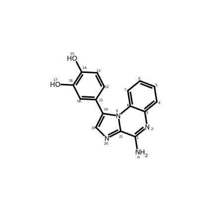 Nc1nc2ccccc2n2c(-c3ccc(O)c(O)c3)cnc12